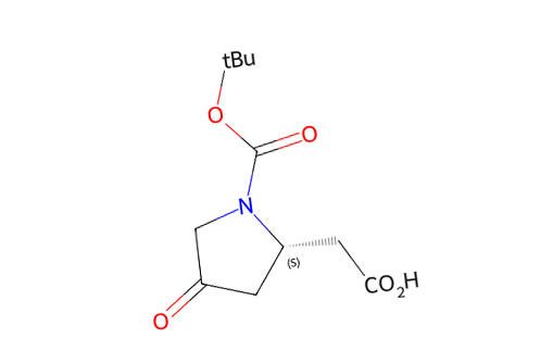 CC(C)(C)OC(=O)N1CC(=O)C[C@H]1CC(=O)O